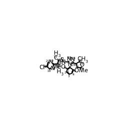 COc1cccc(OC)c1-n1c(NSC(C)C(C)c2ncc(Cl)cn2)nnc1C1CCO[C@H]1C